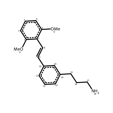 COc1cccc(OC)c1C=Cc1cccc(CCCN)c1